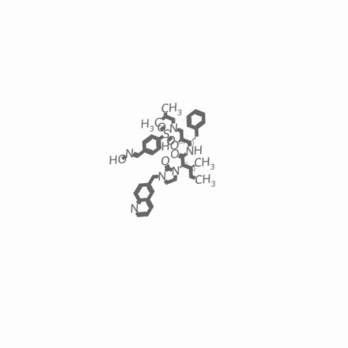 CC[C@H](C)[C@@H](C(=O)N[C@@H](Cc1ccccc1)[C@@H](O)CN(CC(C)C)S(=O)(=O)c1ccc(C=NO)cc1)N1CCN(Cc2ccc3ncccc3c2)C1=O